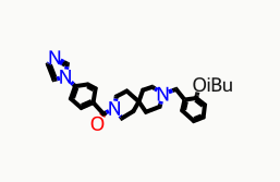 CC(C)COc1ccccc1CN1CCC2(CC1)CCN(C(=O)c1ccc(-n3ccnc3)cc1)CC2